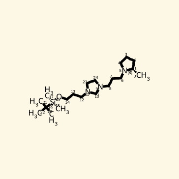 C[C@@H]1CCCN1CCCN1[C]N(CCCO[Si](C)(C)C(C)(C)C)CC1